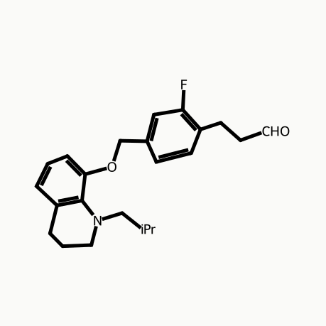 CC(C)CN1CCCc2cccc(OCc3ccc(CCC=O)c(F)c3)c21